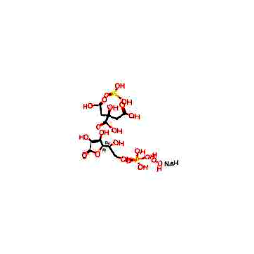 O=C(O)CC(O)(CC(=O)O)C(=O)O.O=C1O[C@H]([C@@H](O)CO)C(O)=C1O.O=P(O)(O)O.O=S(O)O.OO.[NaH]